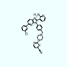 N#Cc1ccnc(N2CCN(Cc3ccc(-n4c(-c5cccnc5N)nc5ccc(-c6cccc(Cl)c6)nc54)cc3)CC2)n1